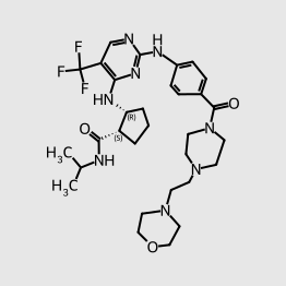 CC(C)NC(=O)[C@H]1CCC[C@H]1Nc1nc(Nc2ccc(C(=O)N3CCN(CCN4CCOCC4)CC3)cc2)ncc1C(F)(F)F